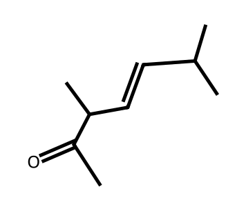 CC(=O)C(C)C=CC(C)C